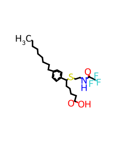 CCCCCCCCCc1ccc(C(CCCCC(=O)O)SCCNC(=O)C(F)(F)F)cc1